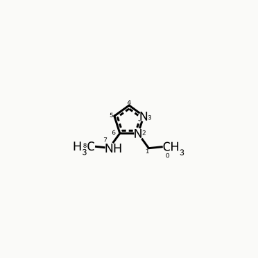 CCn1nccc1NC